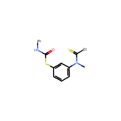 CCC(=S)N(C)c1cccc(SC(=O)NC(C)C)c1